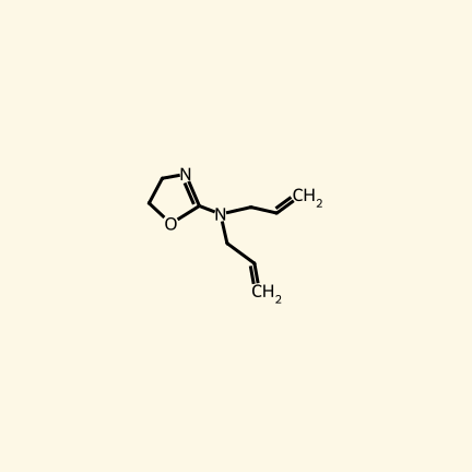 C=CCN(CC=C)C1=NCCO1